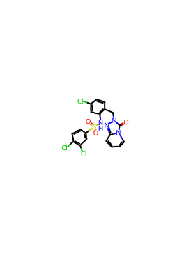 O=c1n(Cc2ccc(Cl)cc2NS(=O)(=O)c2ccc(Cl)c(Cl)c2)nc2ccccn12